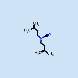 C=C(C)CCN(C#N)CCC(=C)C